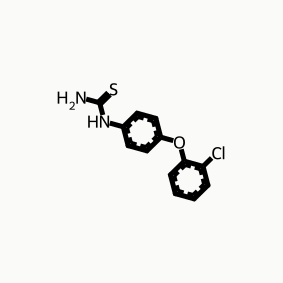 NC(=S)Nc1ccc(Oc2ccccc2Cl)cc1